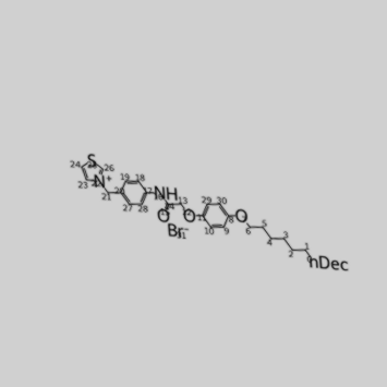 CCCCCCCCCCCCCCCCOc1ccc(OCC(=O)Nc2ccc(C[n+]3ccsc3)cc2)cc1.[Br-]